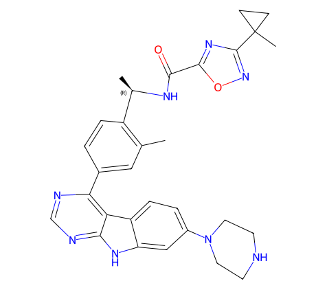 Cc1cc(-c2ncnc3[nH]c4cc(N5CCNCC5)ccc4c23)ccc1[C@@H](C)NC(=O)c1nc(C2(C)CC2)no1